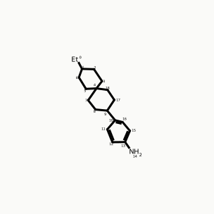 CCC1CCC2(CC1)CCC(c1ccc(N)cc1)CC2